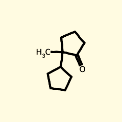 CC1(C2CCCC2)CCCC1=O